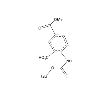 COC(=O)c1ccc(NC(=O)OC(C)(C)C)c(C(=O)O)c1